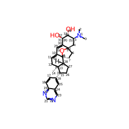 CN(C)[C@H]1C[C@@]23CC[C@@]4(O2)C(=CC[C@]2(C)[C@@H](c5ccc6ncncc6c5)CC[C@H]24)C=C3[C@@H](O)[C@@H]1O